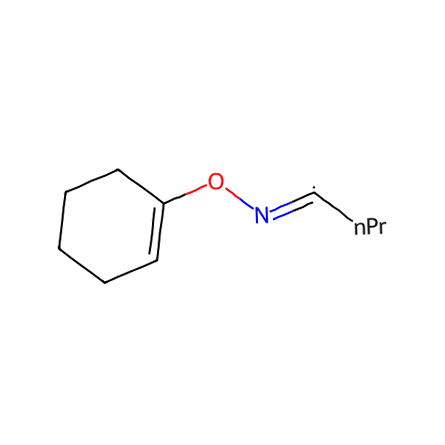 CCC/[C]=N/OC1=CCCCC1